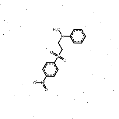 CN(CCS(=O)(=O)c1ccc([N+](=O)[O-])cc1)c1ccccc1